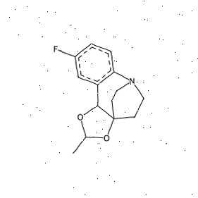 CC1OC2c3cc(F)ccc3N3CCC2(CC3)O1